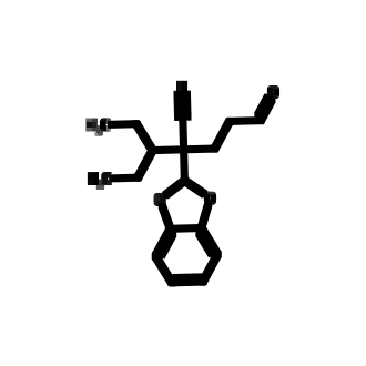 CCC(CC)C(C#N)(CCC=O)C1Oc2ccccc2O1